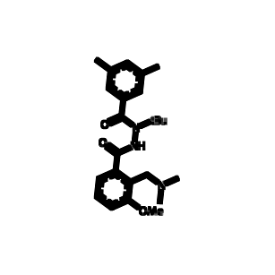 COc1cccc(C(=O)NN(C(=O)c2cc(C)cc(C)c2)C(C)(C)C)c1CN(C)C